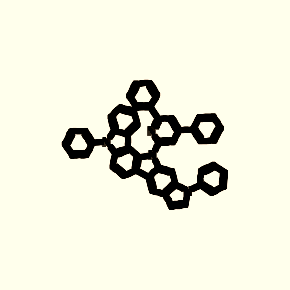 c1ccc(-c2cc(-c3ccccc3)nc(-n3c4cc5c(ccn5-c5ccccc5)cc4c4ccc5c(c6ccccc6n5-c5ccccc5)c43)c2)cc1